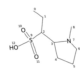 CCC(C1CCCN1C)S(=O)(=O)O